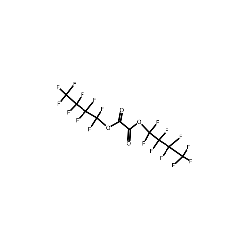 O=C(OC(F)(F)C(F)(F)C(F)(F)C(F)(F)F)C(=O)OC(F)(F)C(F)(F)C(F)(F)C(F)(F)F